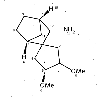 COC1CC2(C[C@@H]1OC)[C@@H]1CC[C@@H](C1)[C@@H]2N